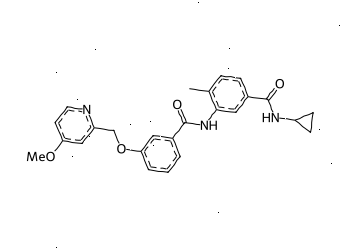 COc1ccnc(COc2cccc(C(=O)Nc3cc(C(=O)NC4CC4)ccc3C)c2)c1